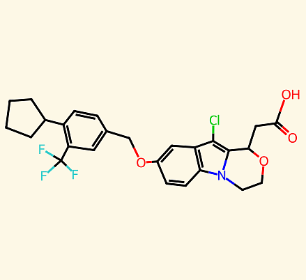 O=C(O)CC1OCCn2c1c(Cl)c1cc(OCc3ccc(C4CCCC4)c(C(F)(F)F)c3)ccc12